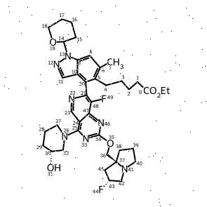 CCOC(=O)CCCCc1c(C)cc2c(cnn2C2CCCCO2)c1-c1ncc2c(N3CCC[C@@H](O)C3)nc(OC[C@@]34CCCN3C[C@H](F)C4)nc2c1F